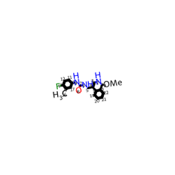 COC1NC=C(CNC(=O)Nc2ccc(F)c(C)c2)c2ccccc21